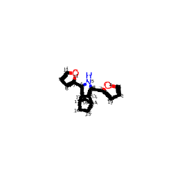 c1coc(-c2[nH]c(-c3ccco3)c3c2C2CCC3C2)c1